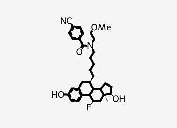 COCCN(CCCCC[C@@H]1Cc2cc(O)ccc2C2C1C1CC[C@H](O)[C@@]1(C)C[C@@H]2F)C(=O)c1ccc(C#N)cc1